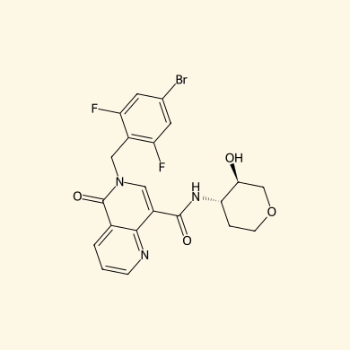 O=C(N[C@H]1CCOC[C@@H]1O)c1cn(Cc2c(F)cc(Br)cc2F)c(=O)c2cccnc12